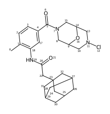 Cc1ccc(C(=O)N2CC3CN(Cl)CC(C2)O3)cc1NC(=O)CC12CC3CC(CC(C3)C1)C2